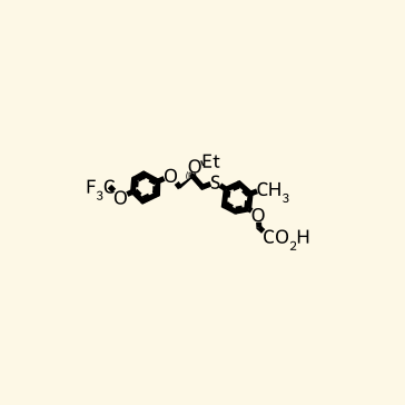 CCO[C@H](COc1ccc(OC(F)(F)F)cc1)CSc1ccc(OCC(=O)O)c(C)c1